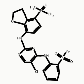 CC(C)S(=O)(=O)c1ccccc1Nc1nc(Nc2ccc(P(C)(C)=O)c3c2OCC3)ncc1Cl